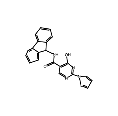 O=C(NC1c2ccccc2-c2ccccc21)c1cnc(-n2cccn2)nc1O